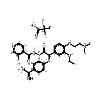 CCOc1cc(C(Nc2ccc(C(=N)N)cc2)C(=O)NNC(=O)c2ccncc2F)ccc1OCCN(C)C.O=C(O)C(F)(F)F